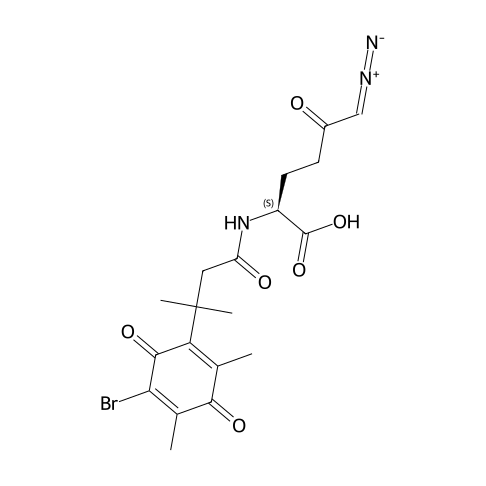 CC1=C(Br)C(=O)C(C(C)(C)CC(=O)N[C@@H](CCC(=O)C=[N+]=[N-])C(=O)O)=C(C)C1=O